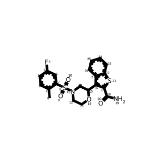 Cc1ccc(F)cc1S(=O)(=O)N1CCOC(c2c(C(N)=O)sc3ccccc23)C1